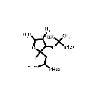 BC1OC(I)(CC(CCCCCC)CCCCCC)C(OC(C)(CCCCCC)CCCCCCC)C1B